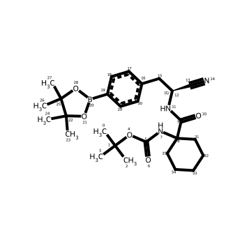 CC(C)(C)OC(=O)NC1(C(=O)N[C@H](C#N)Cc2ccc(B3OC(C)(C)C(C)(C)O3)cc2)CCCCC1